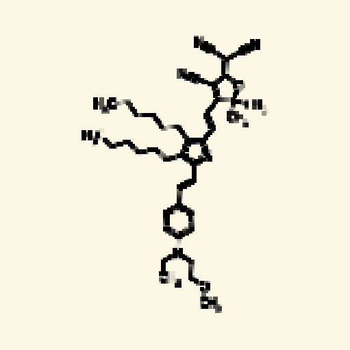 CCCCCCc1c(C=Cc2ccc(N(CC)CCOC)cc2)sc(/C=C/C2=C(C#N)C(=C(C#N)C#N)OC2(C)C)c1CCCCCC